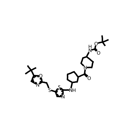 CC(C)(C)OC(=O)NC1CCN(C(=O)C2CCCC(Nc3ncc(SCc4ncc(C(C)(C)C)o4)s3)C2)CC1